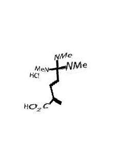 C=C(CCC(NC)(NC)NC)C(=O)O.Cl